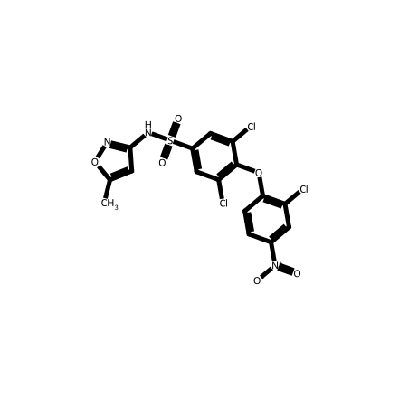 Cc1cc(NS(=O)(=O)c2cc(Cl)c(Oc3ccc([N+](=O)[O-])cc3Cl)c(Cl)c2)no1